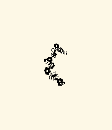 O=C(Nc1ccccc1N1CCNCC1)c1csc(-c2cc(C3CN(c4ccccc4NC(=O)c4csc(-c5ccc6c(c5)CCO6)n4)CCN3)c3sccc3c2)n1